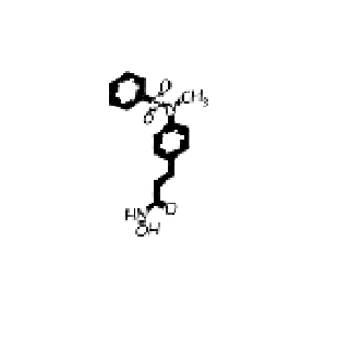 CN(c1ccc(/C=C/C(=O)NO)cc1)S(=O)(=O)c1ccccc1